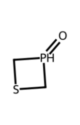 O=[PH]1CSC1